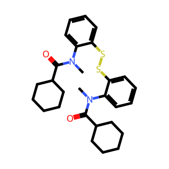 CN(C(=O)C1CCCCC1)c1ccccc1SSc1ccccc1N(C)C(=O)C1CCCCC1